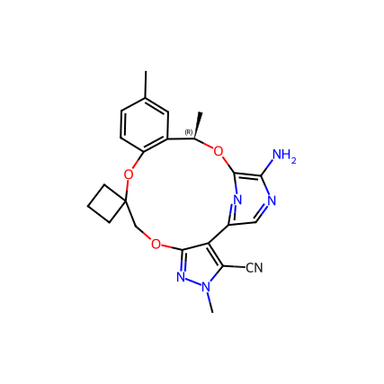 Cc1ccc2c(c1)[C@@H](C)Oc1nc(cnc1N)-c1c(nn(C)c1C#N)OCC1(CCC1)O2